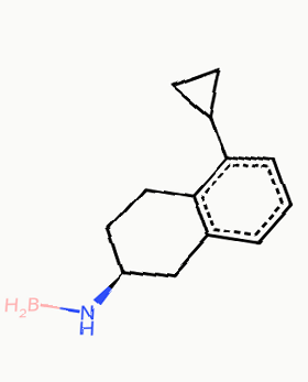 BN[C@H]1CCc2c(cccc2C2CC2)C1